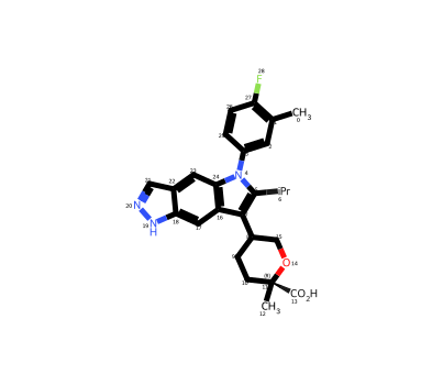 Cc1cc(-n2c(C(C)C)c(C3CC[C@](C)(C(=O)O)OC3)c3cc4[nH]ncc4cc32)ccc1F